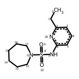 CCc1cccc(NS(=O)(=O)N2CCCCCC2)n1